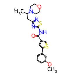 COc1cccc(-c2cc(C(=O)Nc3nc(CC(C)N4CCOCC4)ns3)cs2)c1